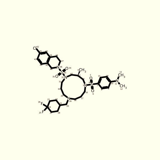 C[C@H]1CN(S(=O)(=O)c2ccc(N(C)C)cc2)CCCN(CC2CCC(F)(F)CC2)CCCN(S(=O)(=O)N2CCc3cc(Cl)ccc3C2)C1